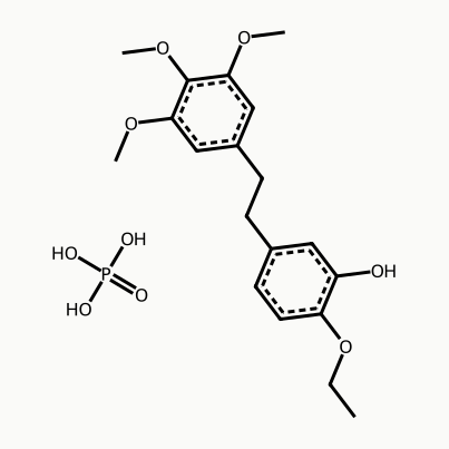 CCOc1ccc(CCc2cc(OC)c(OC)c(OC)c2)cc1O.O=P(O)(O)O